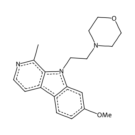 COc1ccc2c3ccnc(C)c3n(CCN3CCOCC3)c2c1